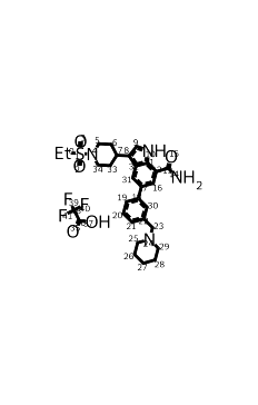 CCS(=O)(=O)N1CCC(c2c[nH]c3c(C(N)=O)cc(-c4cccc(CN5CCCCC5)c4)cc23)CC1.O=C(O)C(F)(F)F